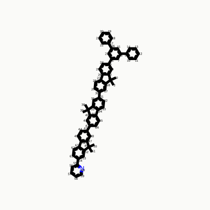 CC1(C)c2cc(-c3cc(-c4ccccc4)cc(-c4ccccc4)c3)ccc2-c2ccc(-c3ccc4c(c3)C(C)(C)c3cc(-c5ccc6c(c5)C(C)(C)c5cc(-c7ccccn7)ccc5-6)ccc3-4)cc21